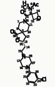 CC(=O)N(C)C1(C(=O)N2CCC3(CC2)C[C@H](CCN2CCN(c4cccc(Cl)c4)CC2)OC3=O)COC1